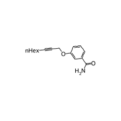 CCCCCCC#CCOc1cccc(C(N)=O)c1